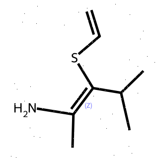 C=CS/C(=C(/C)N)C(C)C